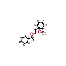 CCOC1(C=COC(C)C2CCCCC2)C=CC=CC1